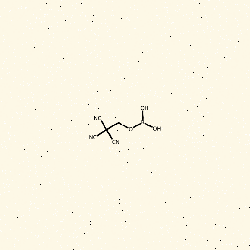 N#CC(C#N)(C#N)COB(O)O